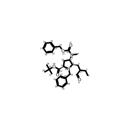 CCC(C=O)C[C@@H]1[C@H](N(C)C(=O)OCc2ccccc2)C[C@H](C(=O)OC(C)(C)C)N1Cc1ccccc1